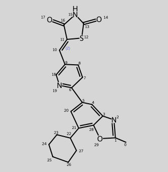 Cc1nc2cc(-c3ccc(/C=C4\SC(=O)NC4=O)cn3)cc(C3CCCCC3)c2o1